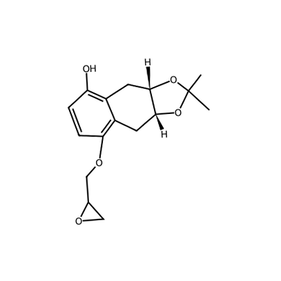 CC1(C)O[C@H]2Cc3c(O)ccc(OCC4CO4)c3C[C@H]2O1